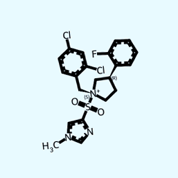 Cn1cnc(S(=O)(=O)[N@@+]2(Cc3ccc(Cl)cc3Cl)CC[C@H](c3ccccc3F)C2)c1